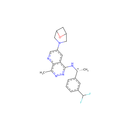 Cc1nnc(N[C@H](C)c2cccc(C(F)F)c2)c2cc(N3CC4CC(C3)O4)cnc12